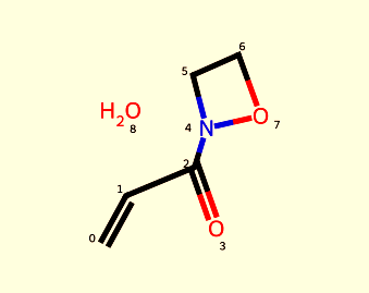 C=CC(=O)N1CCO1.O